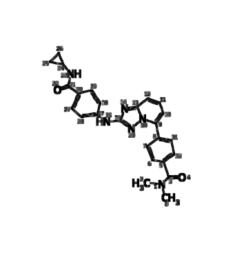 CN(C)C(=O)c1ccc(-c2cccc3nc(Nc4ccc(C(=O)NC5CC5)cc4)nn23)cc1